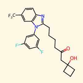 O=C(CCCCc1nc2ccc(C(F)(F)F)cc2n1-c1cc(F)cc(F)c1)CC1(O)CCC1